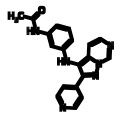 CC(=O)Nc1cccc(Nc2c(-c3ccncc3)nn3cnccc23)c1